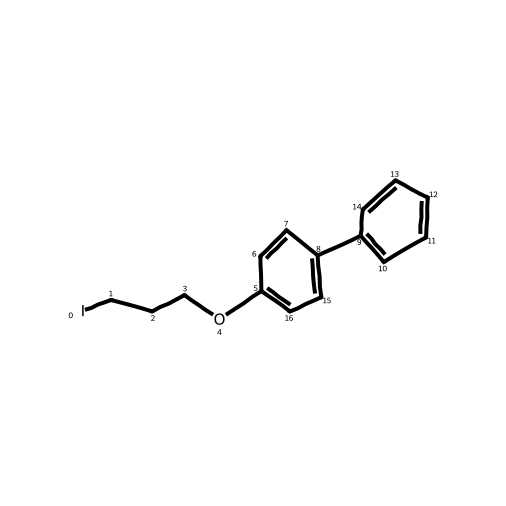 ICCCOc1ccc(-c2ccccc2)cc1